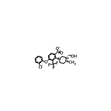 CN1CCN(c2c([N+](=O)[O-])ccc(Oc3ccccc3Cl)c2C(F)(F)F)C[C@@H]1CO